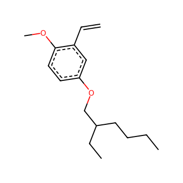 C=Cc1cc(OCC(CC)CCCC)ccc1OC